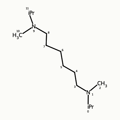 CC(C)N(C)CCCCCCN(C)C(C)C